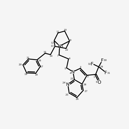 O=C(c1cn(CCCN2C3CCC2C(CCc2ccccc2)C3)c2ncccc12)C(F)(F)F